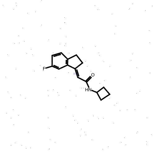 O=C(/C=C1\CCc2ccc(F)cc21)NC1CCC1